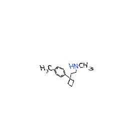 CNCCC1(c2ccc(C)cc2)CCC1